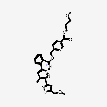 C/N=C(/OCc1ccc(C(=O)NCCCOC)cn1)c1ccccc1-c1cc(C)c(-c2cc(COC)on2)nn1